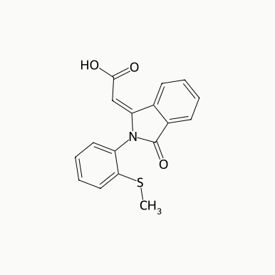 CSc1ccccc1N1C(=O)c2ccccc2/C1=C\C(=O)O